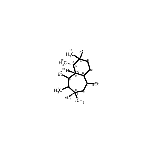 CCC1C[C@@](C)(CC)C(C)C(CC)[C@H]2C1CCC(C)(Cl)[C@H]2C